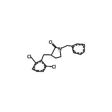 O=C1C(Cc2c(Cl)cccc2Cl)CCN1Cc1ccccc1